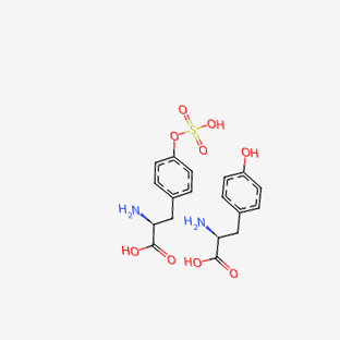 N[C@@H](Cc1ccc(O)cc1)C(=O)O.N[C@@H](Cc1ccc(OS(=O)(=O)O)cc1)C(=O)O